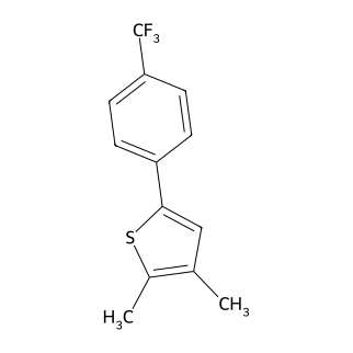 Cc1cc(-c2ccc(C(F)(F)F)cc2)sc1C